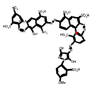 COc1ccc(-n2nc(C#N)c(/N=N/c3ccc(/N=N\c4c(S(=O)(=O)O)cc5c(S(=O)(=O)O)c(N=Nc6cc(S(=O)(=O)O)c7cc(S(=O)(=O)O)c(/N=N\c8ccc([N+](=O)[O-])cc8S(=O)(=O)O)c(O)c7c6N)ccc5c4O)cc3C(=O)O)c2O)c(S(=O)(=O)O)c1